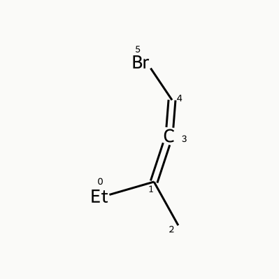 CCC(C)=C=CBr